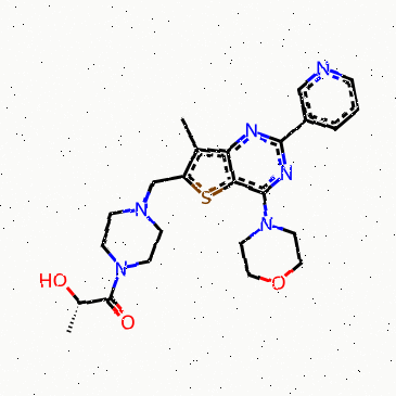 Cc1c(CN2CCN(C(=O)[C@H](C)O)CC2)sc2c(N3CCOCC3)nc(-c3cccnc3)nc12